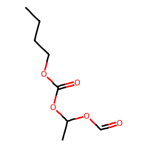 CCCCOC(=O)OC(C)OC=O